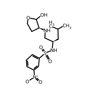 CC(C)C[C@H](CN[C@H]1CCOC1O)NS(=O)(=O)c1cccc([N+](=O)[O-])c1